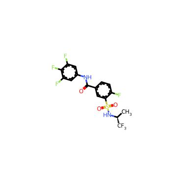 C[C@H](NS(=O)(=O)c1cc(C(=O)Nc2cc(F)c(F)c(F)c2)ccc1F)C(F)(F)F